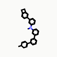 CC1C=CC(c2cccc(-c3cccc(N(C)c4cccc(-c5ccc6c(c5)CC6)c4)c3)c2)=CC1